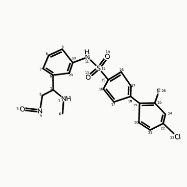 CNC(CN=O)c1cccc(NS(=O)(=O)c2ccc(-c3ccc(Cl)cc3F)cc2)c1